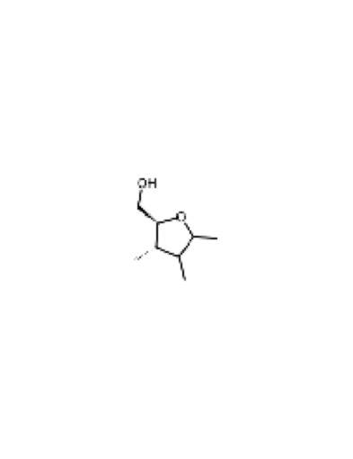 CC1O[C@H](CO)[C@@H](C)C1C